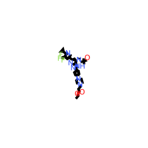 CCOC(=O)CCN1CCN(c2ccc(-c3nc4nc(-c5cnc(C6CC6)c(C(F)(F)F)c5)cc(N(C)CC(C)(C)COC)c4[nH]3)cc2)CC1